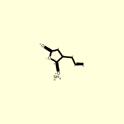 C=CCC1CC(=O)OC1=O.[SiH4]